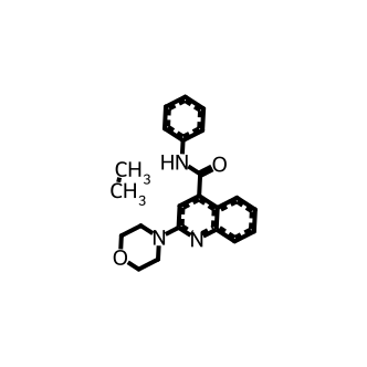 CC.O=C(Nc1ccccc1)c1cc(N2CCOCC2)nc2ccccc12